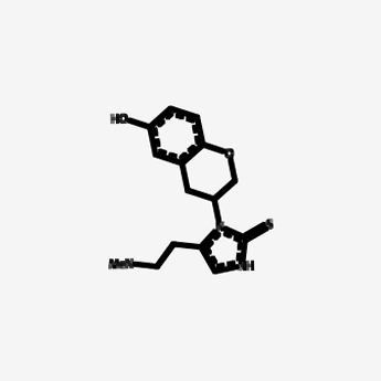 CNCCc1c[nH]c(=S)n1C1COc2ccc(O)cc2C1